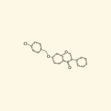 O=c1c(-c2ccccc2)coc2cc(OCc3ccc(Cl)cc3)ccc12